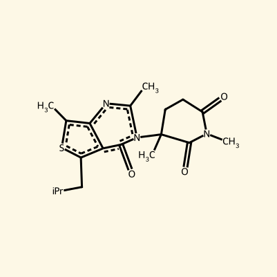 Cc1sc(CC(C)C)c2c(=O)n(C3(C)CCC(=O)N(C)C3=O)c(C)nc12